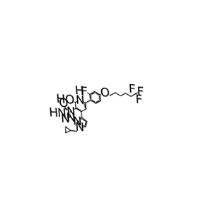 O=c1[nH]nnn1C1=C(c2ccn(CC3CC3)n2)C=C(c2ccc(OCCCCCC(F)(F)F)cc2F)NC1O